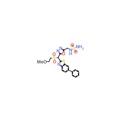 COCCS(=O)(=O)C(c1nnc(CNS(N)(=O)=O)o1)c1nc2ccc(-c3ccccc3)cc2s1